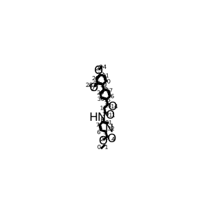 CCOC(=O)c1ccc(NC(=O)CC(=O)c2ccc(-c3ccc(OC)cc3OC)cc2)cn1